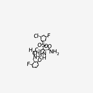 Cc1c(C(=O)N(C)Cc2ccccc2F)[nH]c(C(N)=O)c1S(=O)(=O)c1cc(F)cc(Cl)c1